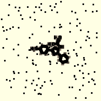 CC(=O)O.Nc1ccc(-c2ccn(-c3ccccc3)n2)cc1.O